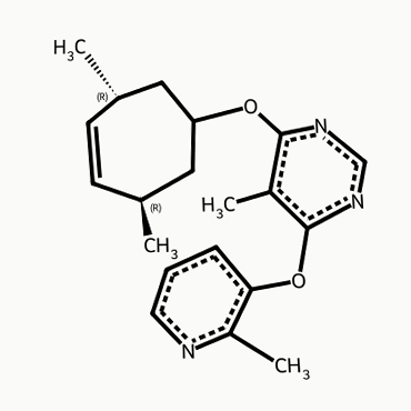 Cc1ncccc1Oc1ncnc(OC2C[C@@H](C)C=C[C@H](C)C2)c1C